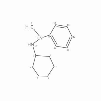 CN(NC1CCCCC1)c1cc[c]cc1